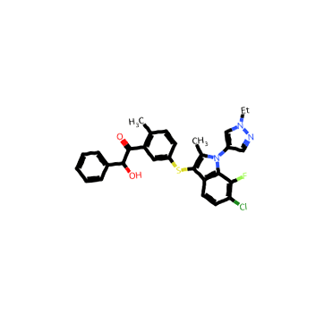 CCn1cc(-n2c(C)c(Sc3ccc(C)c(C(=O)C(O)c4ccccc4)c3)c3ccc(Cl)c(F)c32)cn1